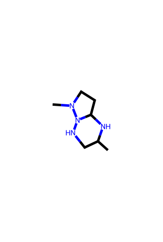 CC1CNN2C(CCN2C)N1